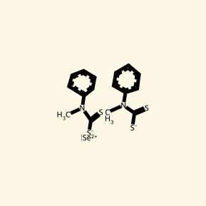 CN(C(=S)[S-])c1ccccc1.CN(C(=S)[S-])c1ccccc1.[Se+2]